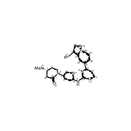 CN[C@@H]1CCN(c2ccc(Nc3nccc(-c4ccn5ncc(C(C)C)c5c4)n3)nc2)C(=O)C1